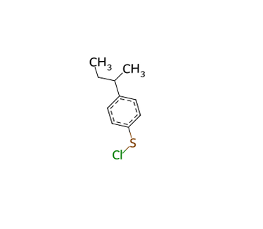 CCC(C)c1ccc(SCl)cc1